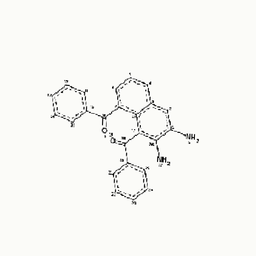 Nc1cc2cccc(C(=O)c3ccccc3)c2c(C(=O)c2ccccc2)c1N